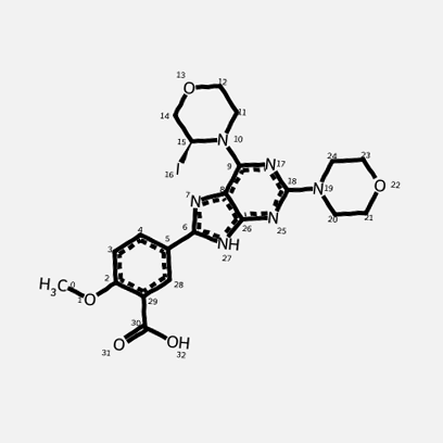 COc1ccc(-c2nc3c(N4CCOC[C@@H]4I)nc(N4CCOCC4)nc3[nH]2)cc1C(=O)O